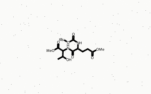 COC(=O)CCC(NC(=O)OC(C)(C)C)C(=O)NC(C(=O)OC)C(C)O